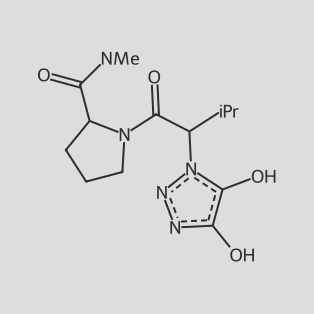 CNC(=O)C1CCCN1C(=O)C(C(C)C)n1nnc(O)c1O